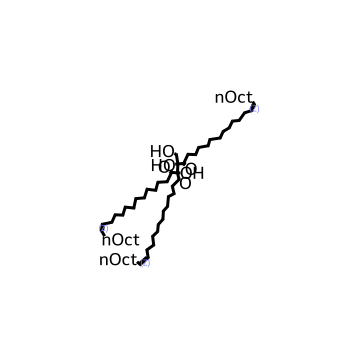 CCCCCCCC/C=C\CCCCCCCCCCCC(=O)C(O)(CO)C(O)(C(=O)CCCCCCCCCCC/C=C\CCCCCCCC)C(=O)CCCCCCCCCCC/C=C\CCCCCCCC